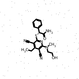 CCc1c(C#N)c(S[C@@H](C(N)=O)c2ccccc2)nc(N(C)CCO)c1C#N